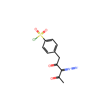 CC(=O)C(=[N+]=[N-])C(=O)Cc1ccc(S(=O)(=O)Cl)cc1